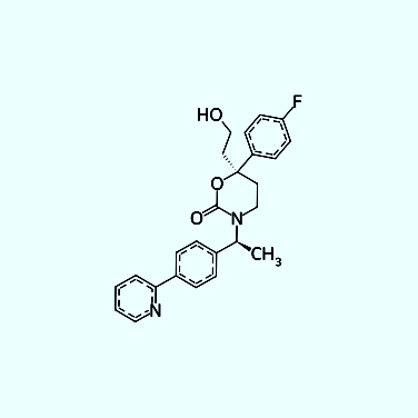 C[C@@H](c1ccc(-c2ccccn2)cc1)N1CC[C@](CCO)(c2ccc(F)cc2)OC1=O